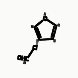 O=CCl.c1ccoc1